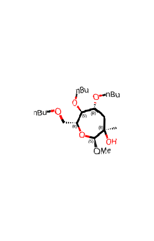 CCCCOC[C@H]1O[C@H](OC)[C@](C)(O)C[C@@H](OCCCC)[C@@H]1OCCCC